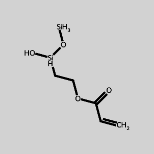 C=CC(=O)OCC[SiH](O)O[SiH3]